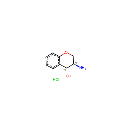 Cl.N[C@@H]1COc2ccccc2[C@H]1O